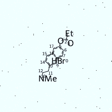 Br.CCC(=O)Oc1ccc2cc(CCNC)ccc2c1